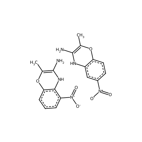 CC1=C(N)Nc2c(cccc2[N+](=O)[O-])O1.CC1=C(N)Nc2cc([N+](=O)[O-])ccc2O1